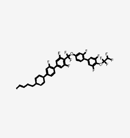 CCCCCC1CCC(c2ccc(-c3cc(F)c(C(F)(F)Oc4ccc(-c5cc(F)c(OC(F)(F)C(F)F)c(F)c5)c(F)c4)c(F)c3)c(F)c2)CC1